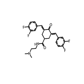 CN(C)CCNC(=O)C1C/C(=C\c2ccc(F)c(F)c2)C(=O)/C(=C/c2ccc(F)c(F)c2)C1